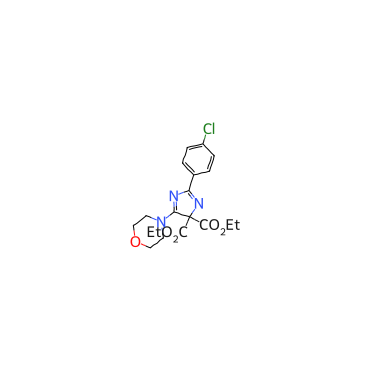 CCOC(=O)C1(C(=O)OCC)N=C(c2ccc(Cl)cc2)N=C1N1CCOCC1